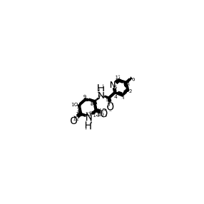 Cc1ccc(C(=O)N[C@@H]2CCC(=O)NC2=O)nc1